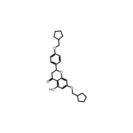 O=C1CC(c2ccc(OCC3CCCC3)cc2)Oc2cc(OCC3CCCC3)cc(O)c21